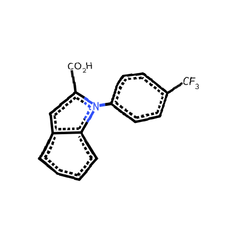 O=C(O)c1cc2ccccc2n1-c1ccc(C(F)(F)F)cc1